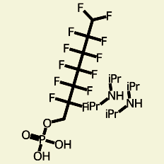 CC(C)NC(C)C.CC(C)NC(C)C.O=P(O)(O)OCC(F)(F)C(F)(F)C(F)(F)C(F)(F)C(F)(F)C(F)F